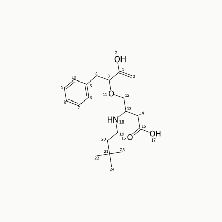 C=C(O)C(Cc1ccccc1)OCC(CC(=O)O)NCCC(C)(C)C